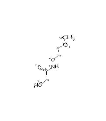 COCCONC(=O)CO